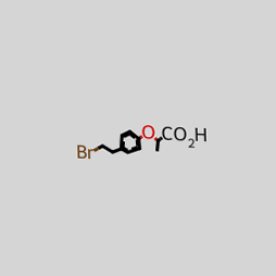 CC(Oc1ccc(CCBr)cc1)C(=O)O